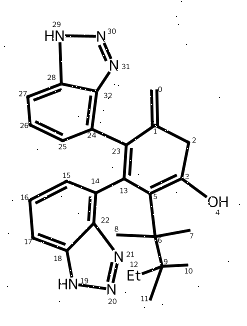 C=C1CC(O)=C(C(C)(C)C(C)(C)CC)C(c2cccc3[nH]nnc23)=C1c1cccc2[nH]nnc12